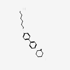 CCCCCCCOc1ccc(-c2ccc([C@H]3CC[C@H](C)CC3=O)cc2)cc1